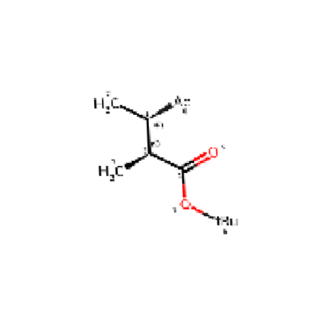 CC(=O)[C@H](C)[C@H](C)C(=O)OC(C)(C)C